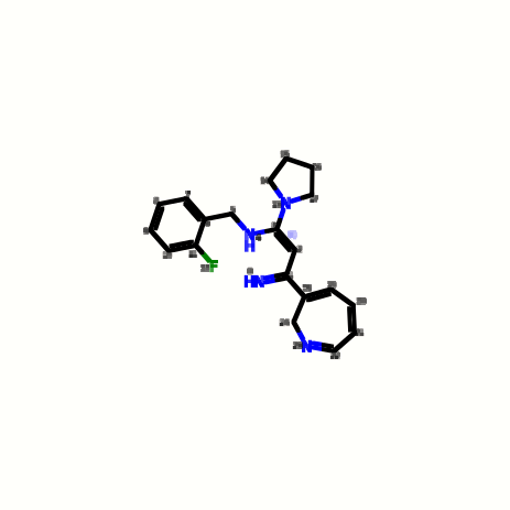 N=C(/C=C(\NCc1ccccc1F)N1CCCC1)C1=CC=CC=NC1